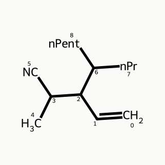 C=CC(C(C)C#N)C(CCC)CCCCC